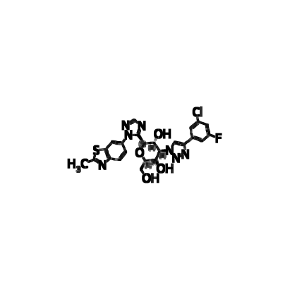 Cc1nc2ccc(-n3ncnc3[C@@H]3O[C@H](CO)[C@H](O)[C@H](n4cc(-c5cc(F)cc(Cl)c5)nn4)[C@H]3O)cc2s1